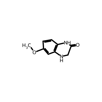 COc1ccc2c(c1)NCC(=O)N2